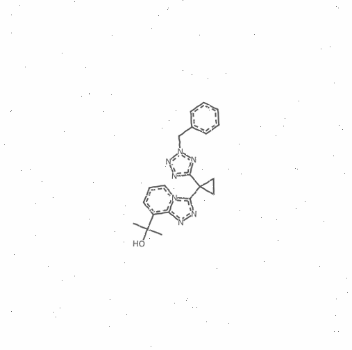 CC(C)(O)c1cccn2c(C3(c4nnn(Cc5ccccc5)n4)CC3)nnc12